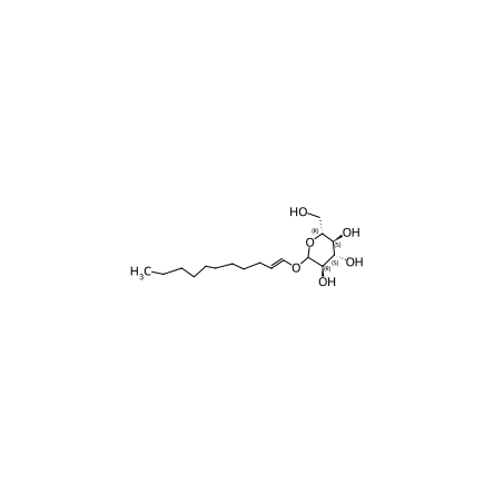 CCCCCCCCCC=COC1O[C@H](CO)[C@@H](O)[C@H](O)[C@H]1O